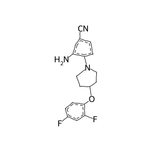 N#Cc1ccc(N2CCC(Oc3ccc(F)cc3F)CC2)c(N)c1